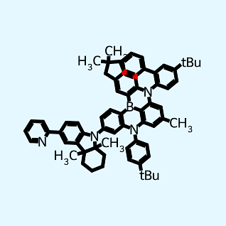 Cc1cc2c3c(c1)N(c1ccc(C(C)(C)C)cc1-c1ccccc1)c1cc4c(cc1B3c1ccc(N3c5ccc(-c6ccccn6)cc5C5(C)CCCCC35C)cc1N2c1ccc(C(C)(C)C)cc1)CC(C)(C)C4